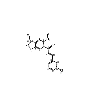 COc1cc2c(cc1C(=O)C=Cc1cccc(Cl)c1)OC[S+]2[O-]